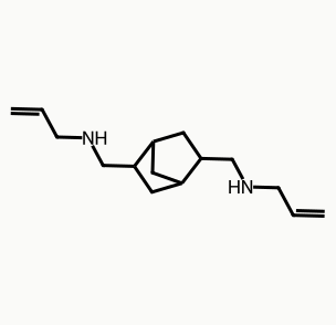 C=CCNCC1CC2CC1CC2CNCC=C